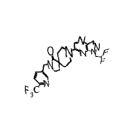 O=C1N(Cc2ccc(C(F)(F)F)nc2)CCC12CCN(c1cnc3cnn(CC(F)F)c3n1)CC2